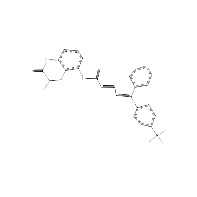 O=C(C=CC=C(c1ccncc1)c1ccc(C(F)(F)F)cc1)Nc1cccc2c1CC(O)C(=O)N2